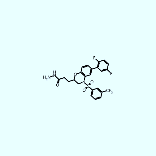 NNC(=O)CCC1CN(S(=O)(=O)c2cccc(C(F)(F)F)c2)c2cc(-c3cc(F)ccc3F)ccc2O1